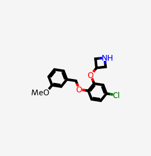 COc1cccc(COc2ccc(Cl)cc2OC2CNC2)c1